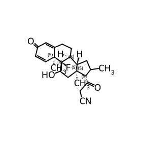 CC1C[C@H]2[C@@H]3CCC4=CC(=O)C=C[C@]4(C)[C@@]3(F)C(O)C[C@]2(C)[C@H]1C(=O)CC#N